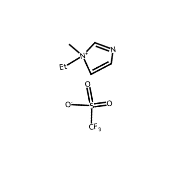 CC[N+]1(C)C=CN=C1.O=S(=O)([O-])C(F)(F)F